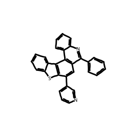 c1ccc(-c2nc3ccccc3c3c2cc(-c2cccnc2)c2sc4ccccc4c23)cc1